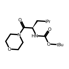 CC(C)C[C@@H](NC(=O)OC(C)(C)C)C(=O)N1CCOCC1